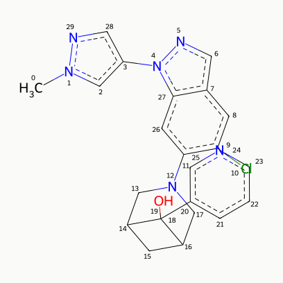 Cn1cc(-n2ncc3cc(Cl)c(N4CC5CC(C4)C5(O)c4cccnc4)cc32)cn1